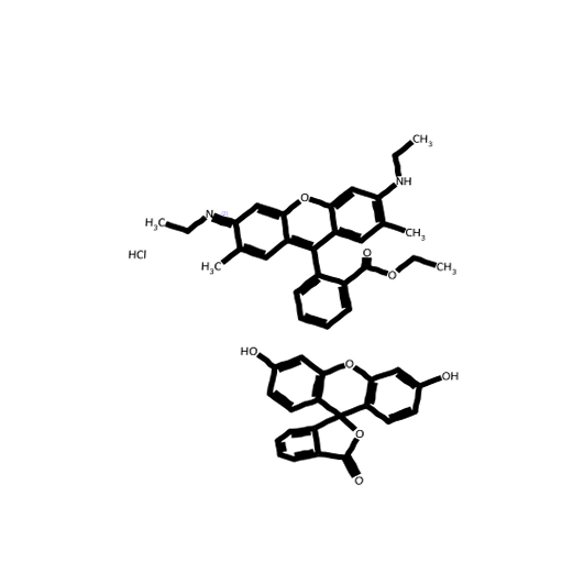 CC/N=c1/cc2oc3cc(NCC)c(C)cc3c(-c3ccccc3C(=O)OCC)c-2cc1C.Cl.O=C1OC2(c3ccc(O)cc3Oc3cc(O)ccc32)c2ccccc21